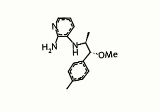 CO[C@H](c1ccc(C)cc1)[C@H](C)Nc1cccnc1N